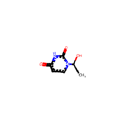 CC(O)n1ccc(=O)[nH]c1=O